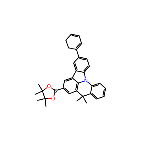 CC1(C)c2ccccc2-n2c3ccc(C4=CC=CCC4)cc3c3cc(B4OC(C)(C)C(C)(C)O4)cc1c32